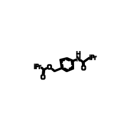 CC(C)C(=O)Nc1ccc(COC(=O)C(C)C)cc1